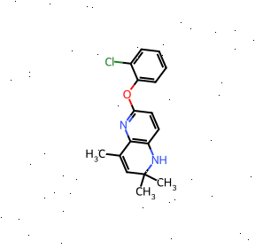 CC1=CC(C)(C)Nc2ccc(Oc3ccccc3Cl)nc21